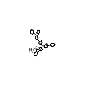 CC1(C)c2ccccc2-c2ccc(N(c3ccc(-c4ccccc4)cc3)c3ccc(-c4ccc5c(c4)c4ccccc4n5C4C=CC=CC4)cc3)cc21